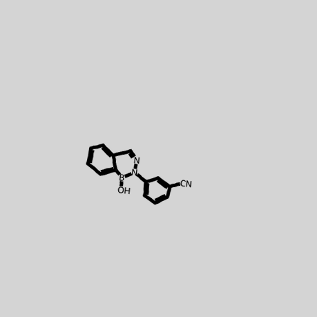 N#Cc1cccc(N2N=Cc3ccccc3B2O)c1